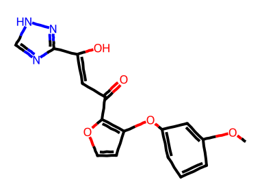 COc1cccc(Oc2ccoc2C(=O)C=C(O)c2nc[nH]n2)c1